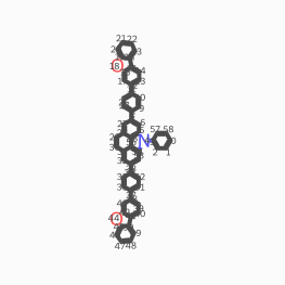 c1ccc(-n2c3cc(-c4ccc(-c5ccc6c(c5)oc5ccccc56)cc4)cc4ccc5cc(-c6ccc(-c7ccc8c(c7)oc7ccccc78)cc6)cc2c5c43)cc1